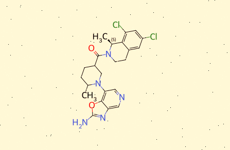 CC1CCC(C(=O)N2CCc3cc(Cl)cc(Cl)c3[C@@H]2C)CN1c1cncc2nc(N)oc12